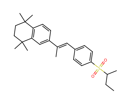 CCC(C)S(=O)(=O)c1ccc(C=C(C)c2ccc3c(c2)C(C)(C)CCC3(C)C)cc1